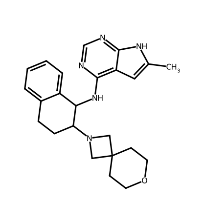 Cc1cc2c(NC3c4ccccc4CCC3N3CC4(CCOCC4)C3)ncnc2[nH]1